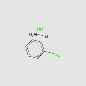 C[CH2][AlH2].Cc1ccccc1.Cl.Cl